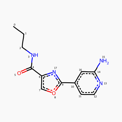 CCCNC(=O)c1coc(-c2ccnc(N)c2)n1